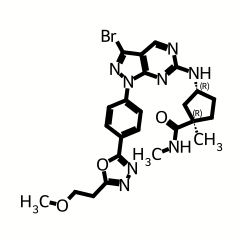 CNC(=O)[C@]1(C)CC[C@@H](Nc2ncc3c(Br)nn(-c4ccc(-c5nnc(CCOC)o5)cc4)c3n2)C1